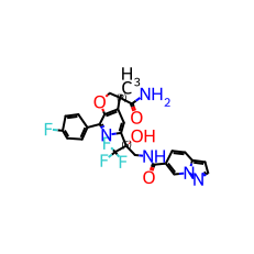 C[C@]1(C(N)=O)COc2c1cc([C@@](O)(CNC(=O)c1ccc3ccnn3c1)C(F)(F)F)nc2-c1ccc(F)cc1